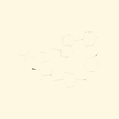 CC[C@H](C)[C@@H](N)C(=O)OC1CCN(C(=O)[C@H]2CC[C@H](Nc3nccc(-n4ccc5c(OCCCS(C)(=O)=O)cccc54)n3)CC2)CC1